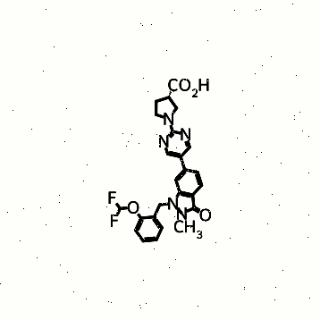 Cn1c(=O)c2ccc(-c3cnc(N4CC[C@H](C(=O)O)C4)nc3)cc2n1Cc1ccccc1OC(F)F